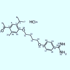 CC(=O)c1cc(C(C)C)c(OCCCCOc2ccc(C(=N)N)cc2)cc1C.Cl